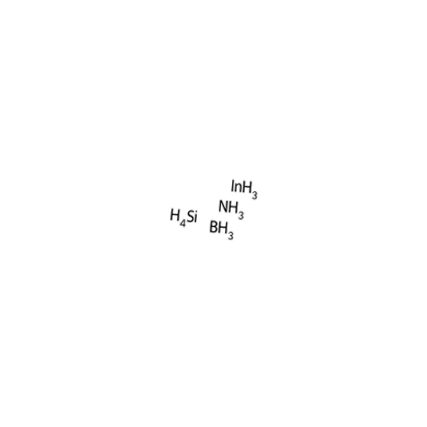 B.N.[InH3].[SiH4]